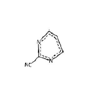 N#Cc1n[c]ccn1